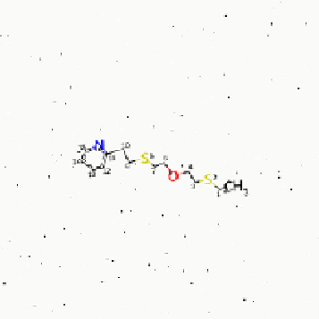 CCSCCOCCSCCc1ccccn1